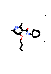 CCCCOc1cc(C)nc(C)c1C(=O)Nc1ccccc1